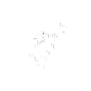 CCOc1ccc(C(=O)N2CCN(c3ccc(-c4cccnc4OCC)nc3CNS(=O)(=O)c3ccccc3[N+](=O)[O-])[C@H](CC)C2)c(C(F)(F)F)n1